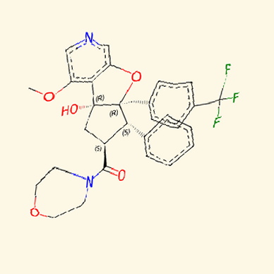 COc1cncc2c1[C@]1(O)C[C@H](C(=O)N3CCOCC3)[C@@H](c3ccccc3)[C@]1(c1ccc(C(F)(F)F)cc1)O2